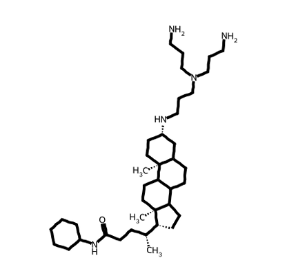 C[C@H](CCC(=O)NC1CCCCC1)[C@H]1CCC2C3CCC4C[C@@H](NCCCN(CCCN)CCCN)CC[C@]4(C)C3CC[C@@]21C